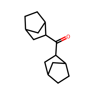 O=C(C1CC2CCC1C2)C1CC2CCC1C2